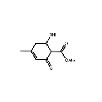 COC(=O)C1C(=O)C=C(C)CC1O